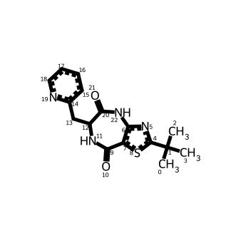 CC(C)(C)c1nc2c(s1)C(=O)NC(Cc1ccccn1)C(=O)N2